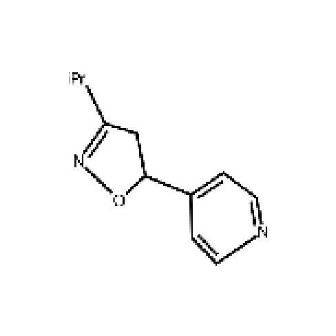 CC(C)C1=NOC(c2ccncc2)C1